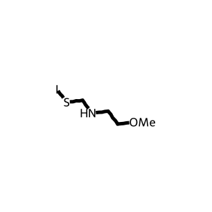 COCCNCSI